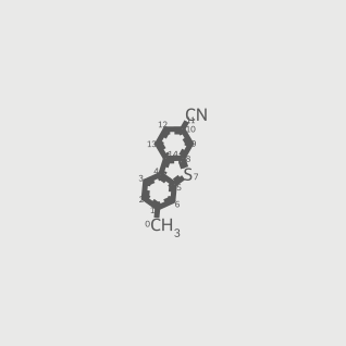 Cc1ccc2c(c1)sc1cc(C#N)ccc12